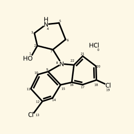 Cl.OC1CNCCC1n1c2ccc(Cl)cc2c2cc(Cl)ccc21